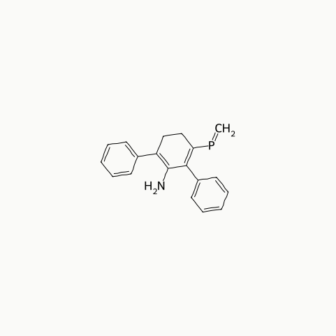 C=PC1=C(c2ccccc2)C(N)=C(c2ccccc2)CC1